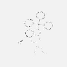 CCCN(CCC)[C@@H]1Cc2c(C#N)ccc3c2[C@@H](C1)CN3C(c1ccccc1)(c1ccccc1)c1ccccc1